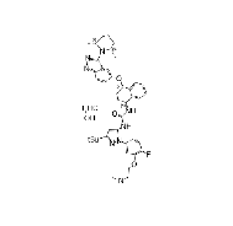 C[C@@H]1CCC[C@H](C)N1c1nnc2ccc(O[C@@H]3CC[C@H](NC(=O)Nc4cc(C(C)(C)C)nn4-c4ccc(F)c(OCCN(C)C)c4)c4ccccc43)cn12.O=CO